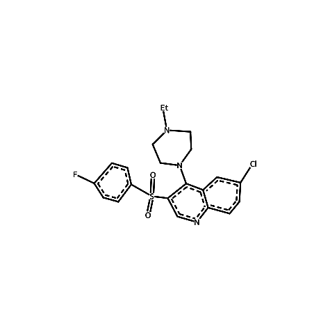 CCN1CCN(c2c(S(=O)(=O)c3ccc(F)cc3)cnc3ccc(Cl)cc23)CC1